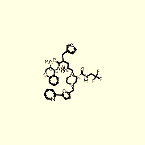 O=C(N[C@H]1c2ccccc2OC[C@H]1O)C(Cc1ccsc1)C[C@H](O)CN1CCN(Cc2ccc(-c3ccccn3)o2)C[C@H]1C(=O)NCC(F)(F)F